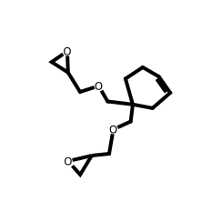 C1=CCC(COCC2CO2)(COCC2CO2)CC1